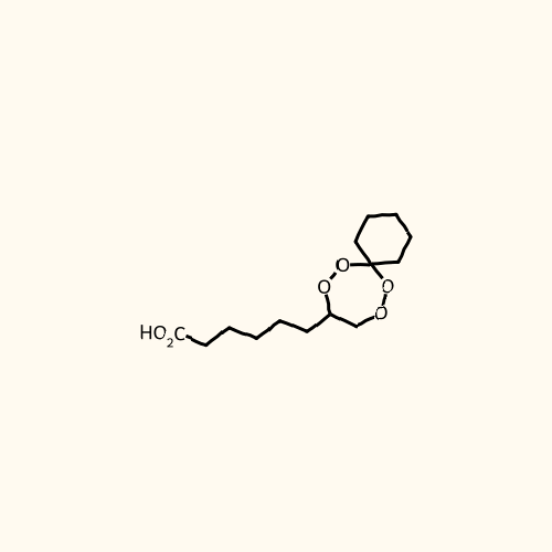 O=C(O)CCCCCC1COOC2(CCCCC2)OO1